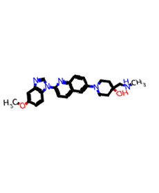 CNCC1(O)CCN(c2ccc3nc(-n4cnc5cc(OC)ccc54)ccc3c2)CC1